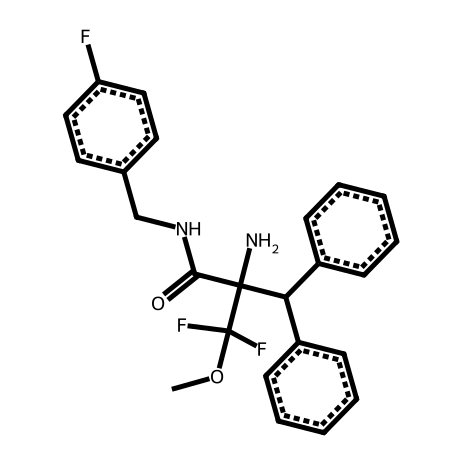 COC(F)(F)C(N)(C(=O)NCc1ccc(F)cc1)C(c1ccccc1)c1ccccc1